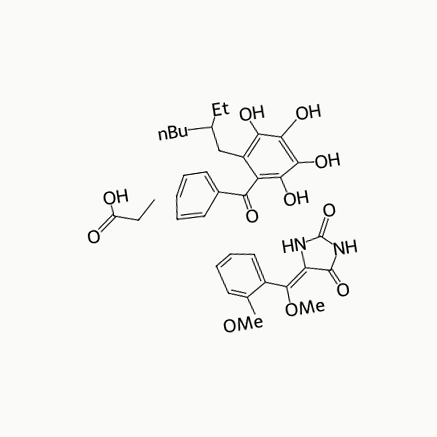 CCC(=O)O.CCCCC(CC)Cc1c(O)c(O)c(O)c(O)c1C(=O)c1ccccc1.COC(=C1NC(=O)NC1=O)c1ccccc1OC